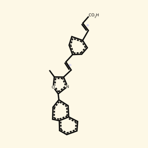 Cc1oc(-c2ccc3ccccc3c2)nc1/C=C/c1ccc(/C=C/C(=O)O)cc1